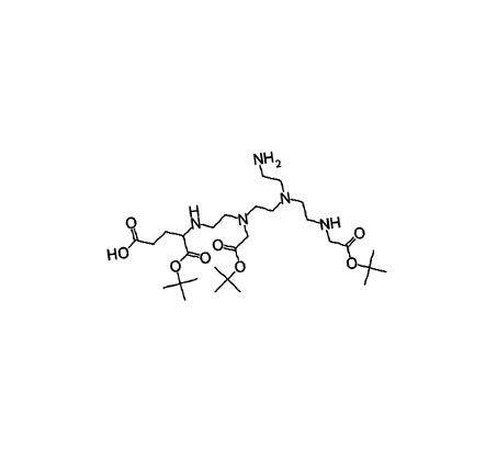 CC(C)(C)OC(=O)CNCCN(CCN)CCN(CCNC(CCC(=O)O)C(=O)OC(C)(C)C)CC(=O)OC(C)(C)C